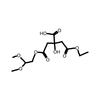 CCOC(=O)CC(O)(CC(=O)OCC(OC)OC)C(=O)O